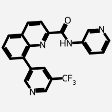 O=C(Nc1cccnc1)c1ccc2cccc(-c3cncc(C(F)(F)F)c3)c2n1